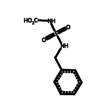 O=C(O)NS(=O)(=O)NCc1ccccc1